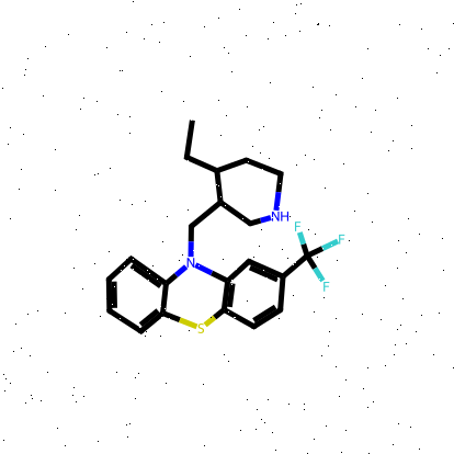 CCC1CCNCC1CN1c2ccccc2Sc2ccc(C(F)(F)F)cc21